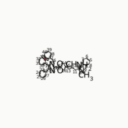 CN(Cc1ccccc1)C(N)CCCC1(C)COC(c2nc(-c3ccccc3)c(-c3ccccc3)n2Cc2ccccc2)OC1